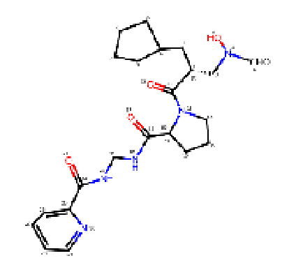 O=CN(O)C[C@@H](CC1CCCC1)C(=O)N1CCC[C@H]1C(=O)NCNC(=O)c1ccccn1